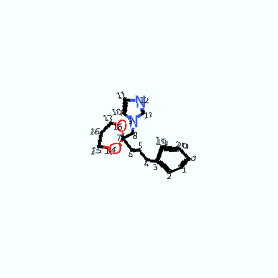 c1ccc(CCCC2(Cn3ccnc3)OCCCO2)cc1